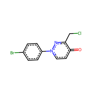 O=c1ccn(-c2ccc(Br)cc2)nc1CCl